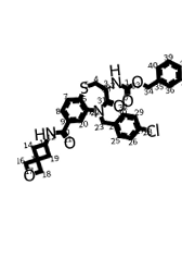 O=C(N[C@H]1CSc2ccc(C(=O)NC3CC4(COC4)C3)cc2N(Cc2ccc(Cl)cc2)C1=O)OCc1ccccc1